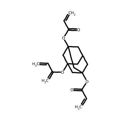 C=CC(=C)OC12CC3CC(OC(=O)C=C)(C1)CC(OC(=O)C=C)(C3)C2